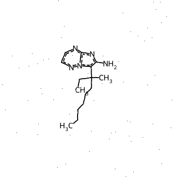 CCCCCCC(C)(CC)c1c(N)nc2nccnn12